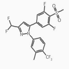 Cc1cc(-n2nc(C(F)F)cc2-c2cc(F)c(S(C)(=O)=O)c(F)c2)ccc1C(F)(F)F